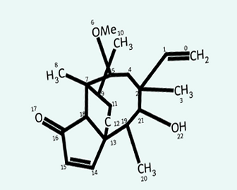 C=CC1(C)CC(OC)C2(C)C(C)CCC3(C=CC(=O)C32)C(C)C1O